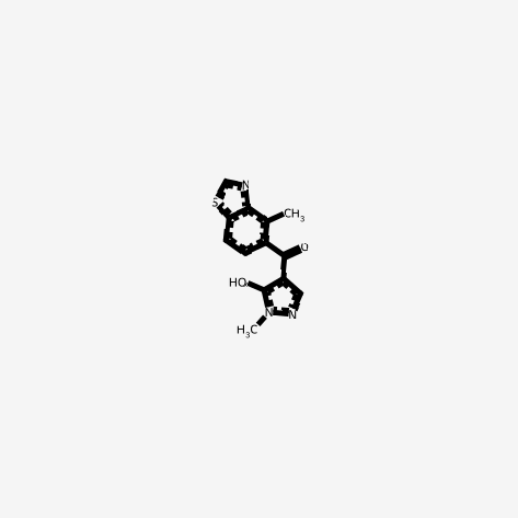 Cc1c(C(=O)c2cnn(C)c2O)ccc2scnc12